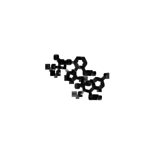 COc1cccc(OC)c1-n1c(NS(=O)(=O)[C@@H](C)[C@H](OC)c2ncc(Cl)cn2)nnc1[C@H]1CC(=O)C1(C)C